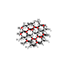 PPP(P)P(P(P)P)P(P(P(P)P)P(P)P)P(P(P(P(P(P)P)P(P)P)P(P(P)P)P(P)P)P(P(P(P)P)P(P)P)P(P(P)P)P(P)P)P(P(P(P(P)P)P(P)P)P(P(P)P)P(P)P)P(P(P(P)P)P(P)P)P(P(P)P)P(P)P